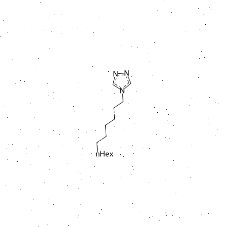 CCCCCCCCCCCCn1cnnc1